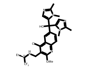 CC[C@@H](NCc1c(OC)nc2ccc(C(O)(c3cnc(C)n3C)c3cnc(C)n3C)cc2c1Cl)C(F)(F)F